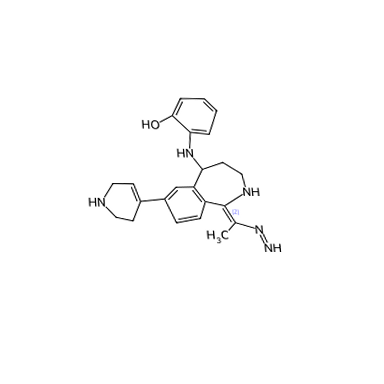 C/C(N=N)=C1/NCCC(Nc2ccccc2O)c2cc(C3=CCNCC3)ccc21